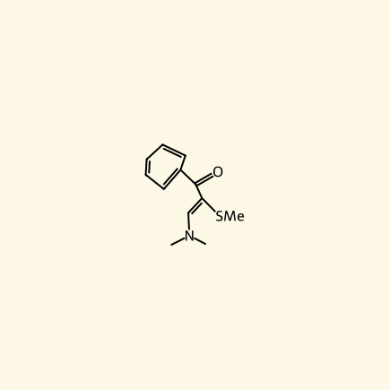 CSC(=CN(C)C)C(=O)c1ccccc1